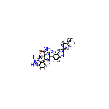 Cc1ccc2[nH]ncc2c1-c1nc(-c2cccc(CNc3ncc(C(F)(F)F)cn3)c2)nc(C(N)=O)c1N